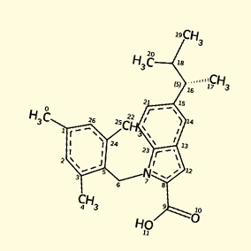 Cc1cc(C)c(Cn2c(C(=O)O)cc3cc([C@@H](C)C(C)C)ccc32)c(C)c1